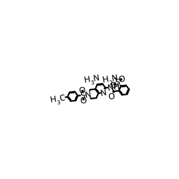 Cc1ccc(S(=O)(=O)N2CCc3nc(NC(=O)c4ccccc4S(N)(=O)=O)ccc3C2)cc1.N